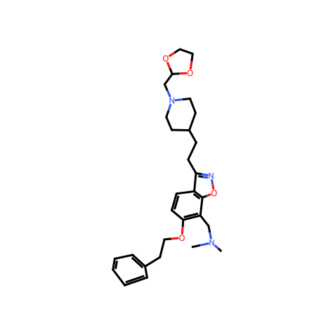 CN(C)Cc1c(OCCc2ccccc2)ccc2c(CCC3CCN(CC4OCCO4)CC3)noc12